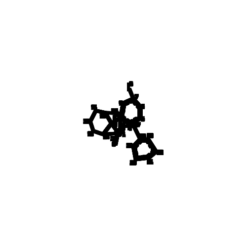 COC1(c2cccc(I)c2)C2CCCC1CN(Cc1ccccc1)C2